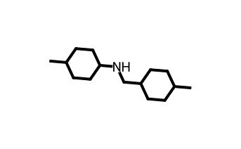 CC1CCC(CNC2CCC(C)CC2)CC1